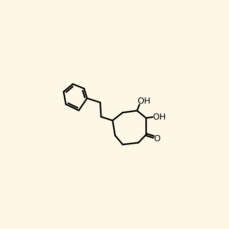 O=C1CCCC(CCc2ccccc2)CC(O)C1O